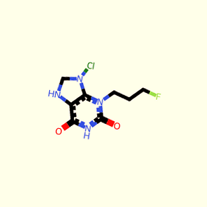 O=c1[nH]c(=O)n(CCCF)c2c1NCN2Cl